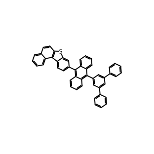 c1ccc(-c2cc(-c3ccccc3)cc(-c3c4ccccc4c(-c4ccc5c(c4)sc4ccc6ccccc6c45)c4ccccc34)c2)cc1